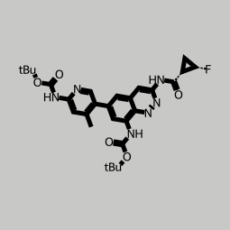 Cc1cc(NC(=O)OC(C)(C)C)ncc1-c1cc(NC(=O)OC(C)(C)C)c2nnc(NC(=O)[C@@H]3C[C@@H]3F)cc2c1